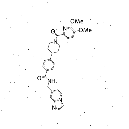 COc1ccc(C(=O)N2CCC(c3ccc(C(=O)NCc4ccn5ccnc5c4)cc3)CC2)nc1OC